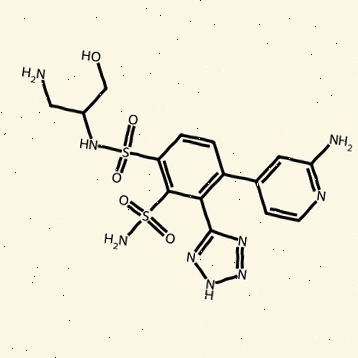 NCC(CO)NS(=O)(=O)c1ccc(-c2ccnc(N)c2)c(-c2nn[nH]n2)c1S(N)(=O)=O